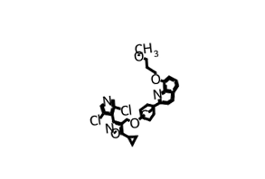 COCCCOc1cccc2ccc(C34CCC(OCc5c(-c6c(Cl)cncc6Cl)noc5C5CC5)(CC3)CC4)nc12